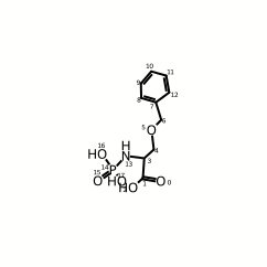 O=C(O)C(COCc1ccccc1)NP(=O)(O)O